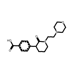 O=C(O)c1ccc(C2CCCN(CCN3CCOCC3)C2=O)cc1